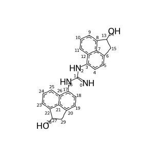 N=C(Nc1ccc2c3c(cccc13)C(O)C2)Nc1ccc2c3c(cccc13)C(O)C2